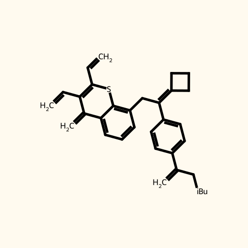 C=CC1=C(C=C)C(=C)c2cccc(CC(=C3CCC3)c3ccc(C(=C)CC(C)CC)cc3)c2S1